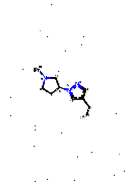 CC(C)Cc1cnn([C@H]2CCN(C(C)C)C2)c1